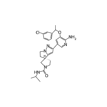 CC(C)NC(=O)N1CC[C@@]2(CCn3nc(-c4cnc(N)c(OC(C)c5cccc(Cl)c5)c4)cc32)C1